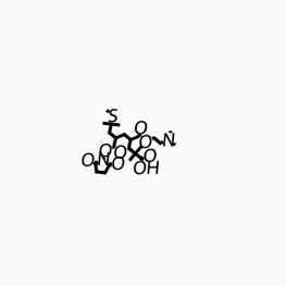 CSC(C)(C)CC(CC(CC(C)(C)C(=O)O)C(=O)OCCN(C)C)C(=O)ON1C(=O)CCC1=O